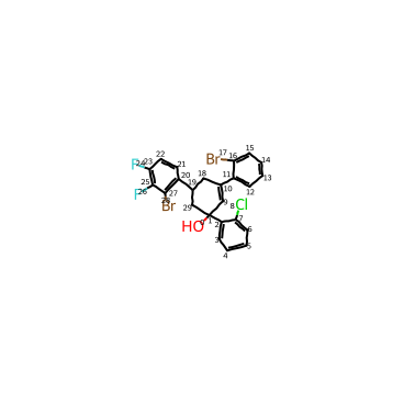 OC1(c2ccccc2Cl)C=C(c2ccccc2Br)CC(c2ccc(F)c(F)c2Br)C1